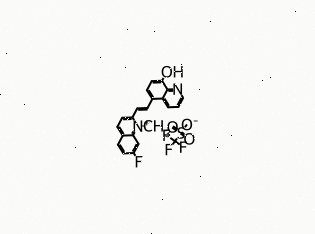 C[n+]1c(C=Cc2ccc(O)c3ncccc23)ccc2ccc(F)cc21.O=S(=O)([O-])C(F)(F)F